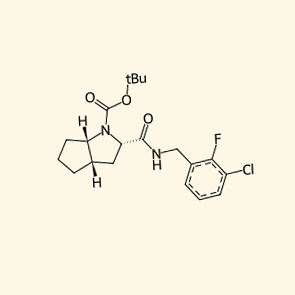 CC(C)(C)OC(=O)N1[C@H](C(=O)NCc2cccc(Cl)c2F)C[C@@H]2CCC[C@@H]21